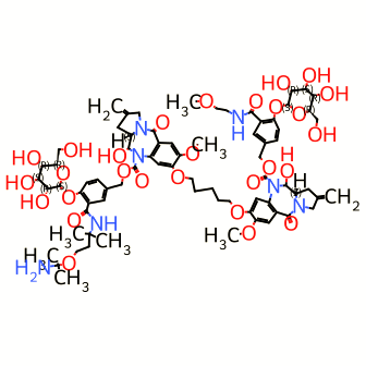 C=C1C[C@H]2C(O)N(C(=O)OCc3ccc(O[C@@H]4O[C@H](CO)[C@H](O)[C@H](O)[C@H]4O)c(C(=O)NCCOC)c3)c3cc(OCCCCCOc4cc5c(cc4OC)C(=O)N4CC(=C)C[C@H]4C(O)N5C(=O)OCc4ccc(O[C@@H]5O[C@H](CO)[C@H](O)[C@H](O)[C@H]5O)c(C(=O)NC(C)(C)CCOC(C)(C)N)c4)c(OC)cc3C(=O)N2C1